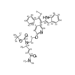 CC/C(=C(/c1ccc(OCCN(C(=O)OC(C)(C)C)C(C)/C=C/C(=O)N(C)C)nc1)c1cc2ccccc2[nH]1)c1ccccc1